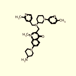 Cc1ccc(N2CCCC(N(Cc3ccnc(C)c3)Cc3cn(C)c4cc(N5CCC(N)CC5)ccc4c3=O)C2)cn1